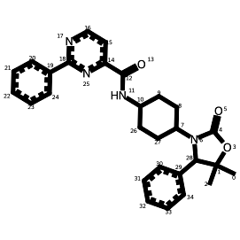 CC1(C)OC(=O)N(C2CCC(NC(=O)c3ccnc(-c4ccccc4)n3)CC2)C1c1ccccc1